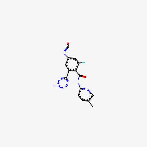 Cc1ccc(NC(=O)c2c(F)cc(N=C=O)cc2-c2nn[nH]n2)nc1